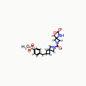 CS(=O)(=O)c1ccc(CC2CC3(C2)CN(C(=O)N2CC4(COC(=O)N4)C2)C3)cc1